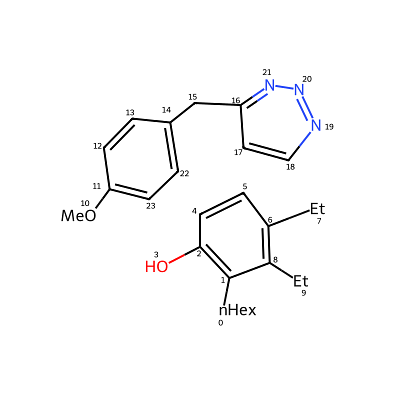 CCCCCCc1c(O)ccc(CC)c1CC.COc1ccc(Cc2ccnnn2)cc1